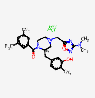 Cc1ccc(C[C@@H]2CN(Cc3nc(N(C)C)no3)CCN2C(=O)c2cc(C(F)(F)F)cc(C(F)(F)F)c2)cc1O.Cl.Cl